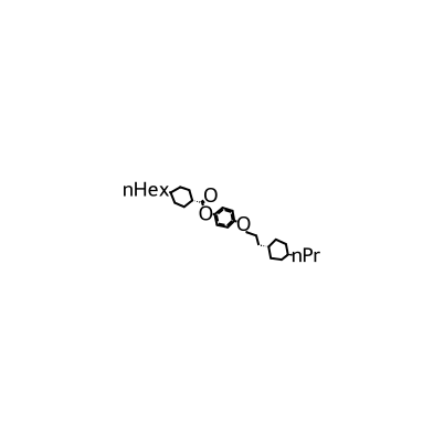 CCCCCC[C@H]1CC[C@H](C(=O)Oc2ccc(OCCC[C@H]3CC[C@H](CCC)CC3)cc2)CC1